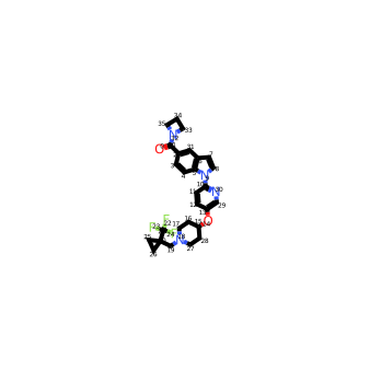 O=C(c1ccc2c(ccn2-c2ccc(OC3CCN(CC4(C(F)(F)F)CC4)CC3)cn2)c1)N1CCC1